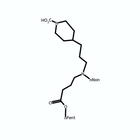 CCCCCCCCCN(CCCC(=O)OCCCCC)CCCC1CCN(C(=O)O)CC1